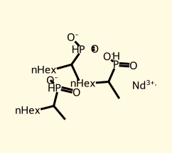 CCCCCCC(C)[PH](=O)[O-].CCCCCCC(C)[PH](=O)[O-].CCCCCCC(C)[PH](=O)[O-].[Nd+3]